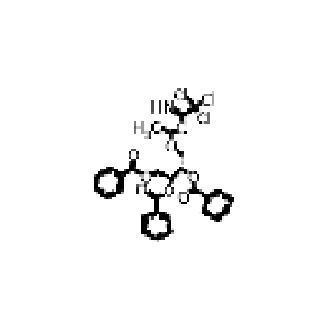 CC(OC[C@H](OC(=O)c1ccccc1)C(COC(=O)c1ccccc1)OC(=O)c1ccccc1)OC(=N)C(Cl)(Cl)Cl